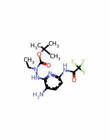 CCN(Nc1nc(NC(=O)C(F)(F)F)ccc1N)C(=O)OC(C)(C)C